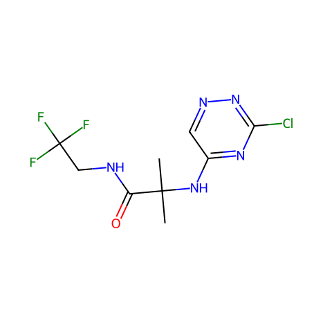 CC(C)(Nc1cnnc(Cl)n1)C(=O)NCC(F)(F)F